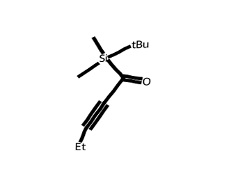 CCC#CC(=O)[Si](C)(C)C(C)(C)C